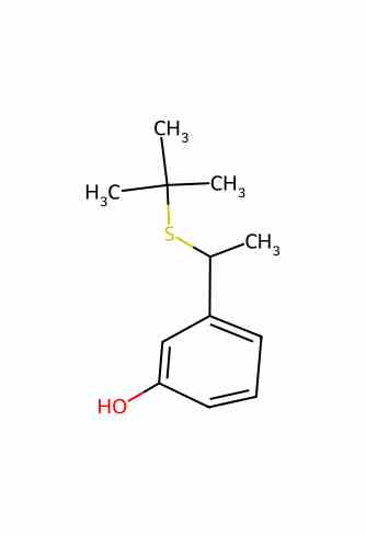 CC(SC(C)(C)C)c1cccc(O)c1